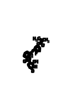 CN(C)C(=O)Oc1ccc(F)c(CNc2cccc3c2CN([C@@H]2CCC(=O)NC2O)C3=O)c1